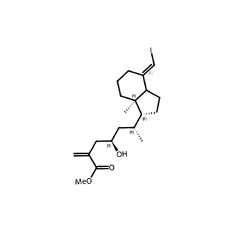 C=C(C[C@H](O)C[C@@H](C)[C@H]1CCC2/C(=C/I)CCC[C@@]21C)C(=O)OC